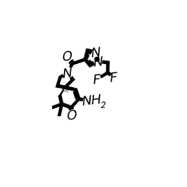 CC1(C)C[C@@]2(C=C(N)C1=O)CCN(C(=O)c1cnn(CC(F)F)c1)C2